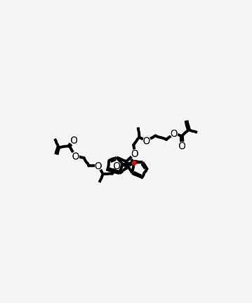 C=C(C)C(=O)OCCOC(C)COC1=CC2=CC=C1C2C1(C)C2=CC=C1C(OCC(C)OCCOC(=O)C(=C)C)=C2